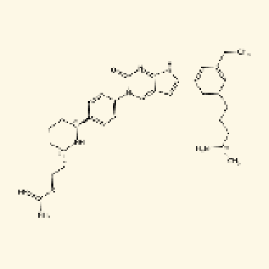 CCc1cc(CCC[C@H](C)N)cc(-c2cc3cn(-c4ccc([C@@H]5CCC[C@@H](CCSC(=N)N)N5)cc4)c(=O)nc3[nH]2)c1